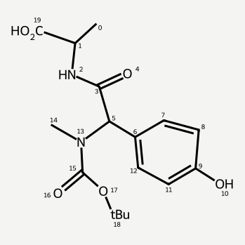 CC(NC(=O)C(c1ccc(O)cc1)N(C)C(=O)OC(C)(C)C)C(=O)O